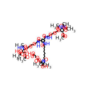 CC(=O)N[C@H]1C(OCCOCCOCCNC(=O)c2cc(NC(=O)CCCCCCCCC(=O)N3CC(C)(CO)C(C)(COC(=O)OCCC(=O)O)C3)cc(C(=O)NCCOCCOCCOC3C[C@H](COC(C)=O)[C@H](OC(C)=O)[C@H](OC(C)=O)[C@H]3NC(C)=O)c2)O[C@H](COC(C)=O)[C@H](OC(C)=O)[C@@H]1O